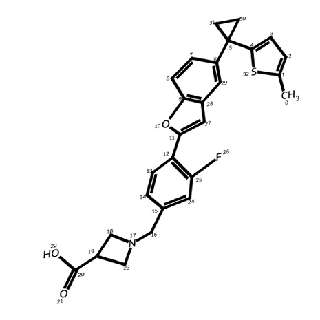 Cc1ccc(C2(c3ccc4oc(-c5ccc(CN6CC(C(=O)O)C6)cc5F)cc4c3)CC2)s1